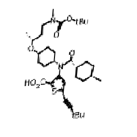 C[C@H](CCN(C)C(=O)OC(C)(C)C)O[C@H]1CC[C@H](N(c2cc(C#CC(C)(C)C)sc2C(=O)O)C(=O)[C@H]2CC[C@H](C)CC2)CC1